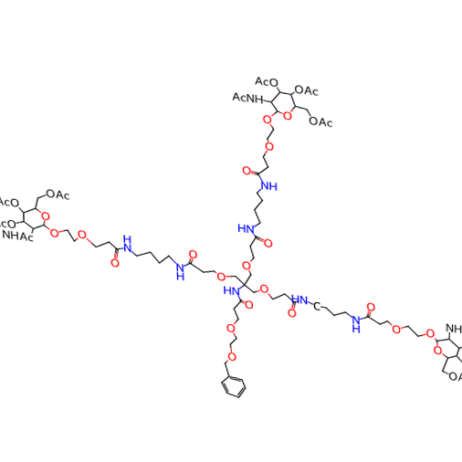 CC(=O)NC1C(OCCOCCC(=O)NCCCCNC(=O)CCOCC(COCCC(=O)NCCCCNC(=O)CCOCCOC2OC(COC(C)=O)C(OC(C)=O)C(OC(C)=O)C2NC(C)=O)(COCCC(=O)NCCCCNC(=O)CCOCCOC2OC(COC(C)=O)C(OC(C)=O)C(OC(C)=O)C2NC(C)=O)NC(=O)CCOCCOCc2ccccc2)OC(COC(C)=O)C(OC(C)=O)C1OC(C)=O